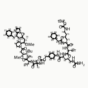 CC[C@H](C)[C@@H]([C@@H](CC(=O)N1CCC[C@H]1[C@H](OC)[C@@H](C)C(=O)N[C@@H](Cc1ccccc1)c1nccs1)OC)N(C)C(=O)[C@@H](NC(=O)C(C)(C)NC(=O)OCc1ccc(NC(=O)[C@H](CCCNC(N)=O)NC(=O)[C@@H](NC(=O)[C@H](CCCCNC(=O)OC(C)(C)C)NC(=O)Cc2ccccc2)C(C)C)cc1)C(C)C